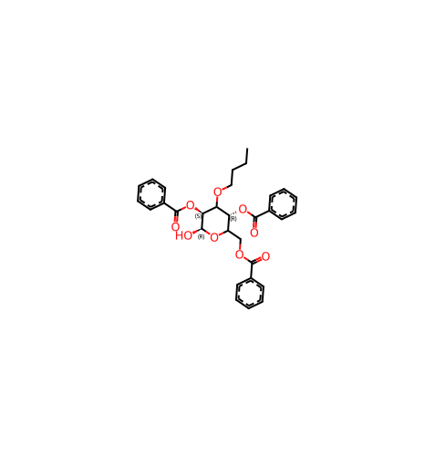 CCCCOC1[C@H](OC(=O)c2ccccc2)C(COC(=O)c2ccccc2)O[C@@H](O)[C@H]1OC(=O)c1ccccc1